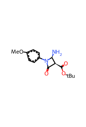 COc1ccc(N2C(=O)[C@H](C(=O)OC(C)(C)C)[C@@H]2N)cc1